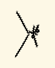 CCCCCCCCCCCCCCCCCCCCCC[CH2][Ni][CH2]CCCCCCCCCCCCCCCCCCCCCC.CCCCCCCCc1cccc(C2=C(CCCC)C(CCCCC)=C(c3cccc(CCCC)c3)[N+]2=[N-])c1